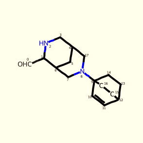 O=CC1NCC2CC1CN(C13C=CC(CC1)CC3)C2